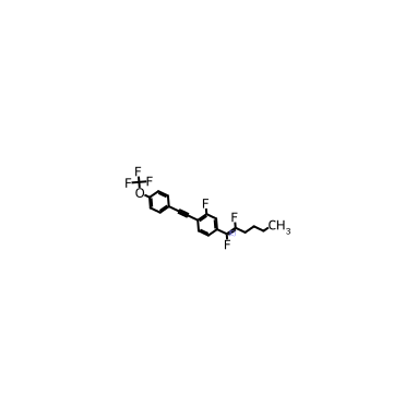 CCCC/C(F)=C(\F)c1ccc(C#Cc2ccc(OC(F)(F)F)cc2)c(F)c1